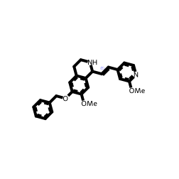 COc1cc(/C=C/C2NCCc3cc(OCc4ccccc4)c(OC)cc32)ccn1